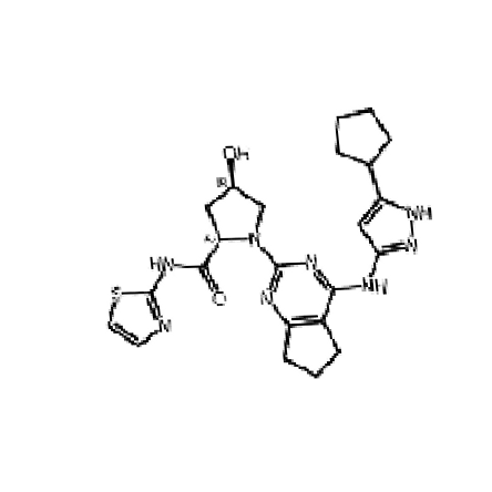 O=C(Nc1nccs1)[C@H]1C[C@@H](O)CN1c1nc2c(c(Nc3cc(C4CCCC4)[nH]n3)n1)CCC2